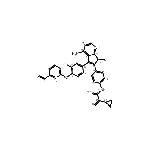 C=Cc1ccnc(Oc2ccc(-c3c(-c4ccc(NC(=O)C(=C)C5CC5)cc4)n(C)c4ncnc(N)c34)cc2F)n1